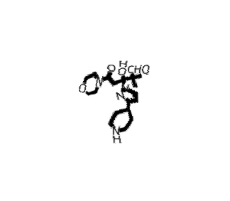 CC(C)(C=O)C(O)(CC(=O)N1CCOCC1)n1ccc(C2CCNCC2)n1